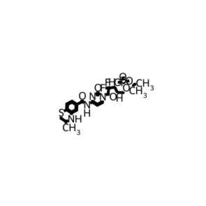 CC1CSc2ccc(C(=O)Nc3ccn(C4O[C@@H]5COP(=O)(OC(C)C)O[C@H]5C4(F)F)c(=O)n3)cc2N1